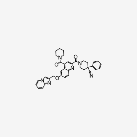 N#CC1(c2ccccc2)CCN(C(=O)c2cc(C(=O)N3CCCCC3)c3cc(OCc4cn5ccccc5n4)ccc3n2)CC1